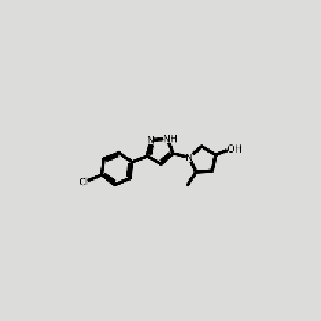 CC1CC(O)CN1c1cc(-c2ccc(Cl)cc2)n[nH]1